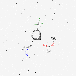 COC(C)=O.FC(F)(F)c1ccc(C=C2C=CN2)cc1